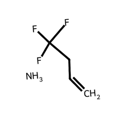 C=CCC(F)(F)F.N